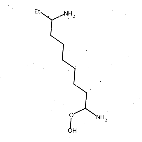 CCC(N)CCCCCCC(N)OO